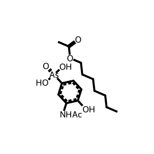 CC(=O)Nc1cc([As](=O)(O)O)ccc1O.CCCCCCCOC(C)=O